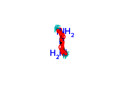 NC(=NOCC(F)(F)F)c1ccc(OCCCC2CCN(CCCOc3ccc(C(N)=NOCC(F)(F)F)cc3)CC2)cc1